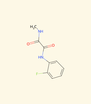 CNC(=O)C(=O)Nc1ccccc1F